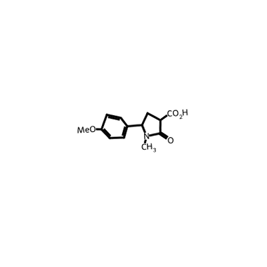 COc1ccc(C2CC(C(=O)O)C(=O)N2C)cc1